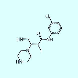 N=C/C(=C(/I)C(=O)Nc1cccc(Cl)c1)N1CCNCC1